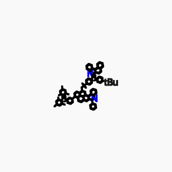 Cc1cc(C)c(B(c2cccc(-c3ccc4c(CC(C)(C)c5ccc(B(c6ccc(C(C)(C)C)cc6)c6nc7ccccc7c7c6ccc6ccccc67)cc5)cc5c6c(cc7ccc3c4c75)c(-c3ccccc3)nc3ccccc36)c2)c2c(C)cc(C)cc2C)c(C)c1